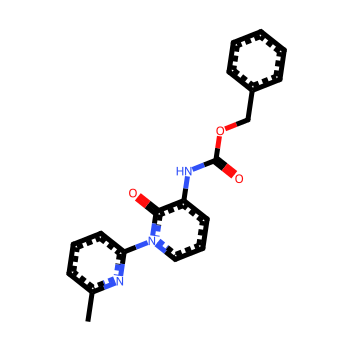 Cc1cccc(-n2cccc(NC(=O)OCc3ccccc3)c2=O)n1